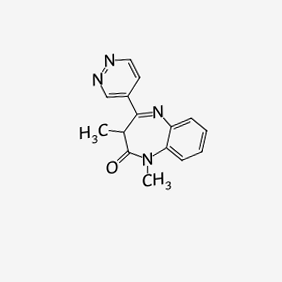 CC1C(=O)N(C)c2ccccc2N=C1c1ccnnc1